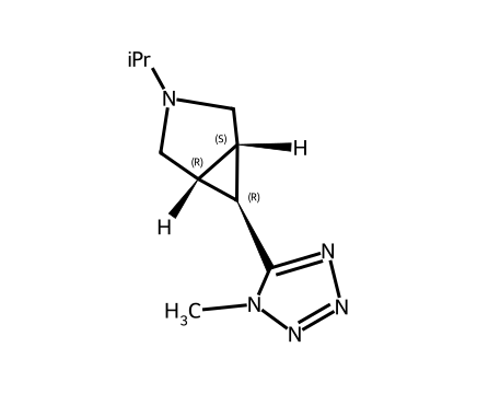 CC(C)N1C[C@@H]2[C@H](C1)[C@H]2c1nnnn1C